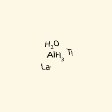 O.[AlH3].[La].[Ti]